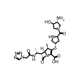 C[C@@H](NC(=O)Cn1cnnn1)[C@H]1C(=O)N2C(C(=O)O)=C(S[C@@H]3CNC(C(=O)N4CC(O)[C@H](N)C4)C3)[C@H](C)[C@H]12